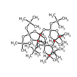 C[Si](C)(C)O[Si](OC([SiH3])(O[Si](O[Si](C)(C)C)(O[Si](C)(C)C)O[Si](C)(C)C)O[Si](O[Si](C)(C)C)(O[Si](C)(C)C)O[Si](C)(C)C)(O[Si](C)(C)C)O[Si](C)(C)C